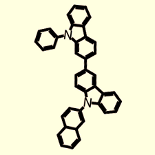 C1=CC2C=CC(n3c4ccccc4c4cc(-c5ccc6c7ccccc7n(-c7ccccc7)c6c5)ccc43)=CC2C=C1